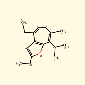 CCC1=CCC(C)=C(C(C)C)c2oc(CC)cc21